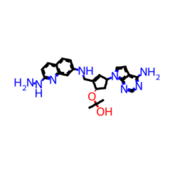 CC(C)(O)O[C@H]1CC(n2ccc3c(N)ncnc32)C=C1CNc1ccc2ccc(NN)nc2c1